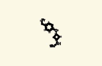 CC(C)Cc1ccc(O[C@H]2C[C@H](NC(C)(C)C)C2)cc1